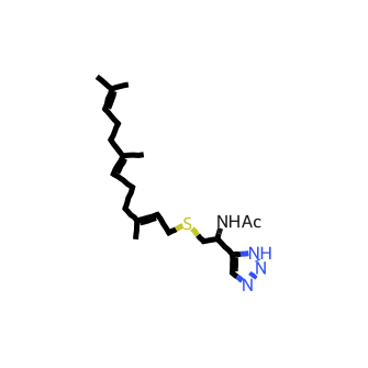 CC(=O)NC(CSC/C=C(\C)CC/C=C(\C)CCC=C(C)C)c1cnn[nH]1